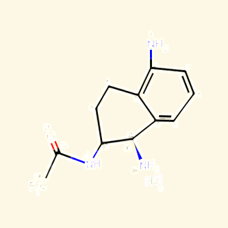 Cl.Nc1cccc2c1CCC(NC(=O)C(F)(F)F)[C@@H]2N